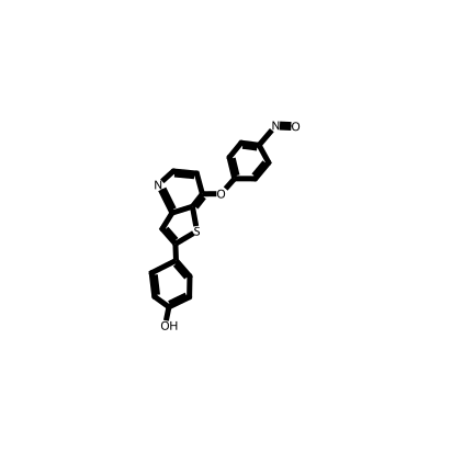 O=Nc1ccc(Oc2ccnc3cc(-c4ccc(O)cc4)sc23)cc1